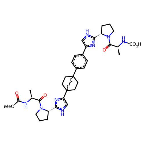 COC(=O)N[C@@H](C)C(=O)N1CCC[C@H]1c1nc(C23CCC(c4ccc(-c5c[nH]c([C@@H]6CCCN6C(=O)[C@H](C)NC(=O)O)n5)cc4)(CC2)CC3)c[nH]1